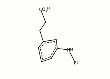 CCNc1cccc(CCC(=O)O)c1